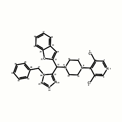 Clc1cncc(Cl)c1N1CCN(C(c2cc3ccccc3o2)c2nnnn2Cc2ccccc2)CC1